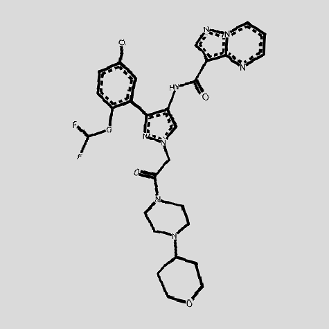 O=C(Nc1cn(CC(=O)N2CCN(C3CCOCC3)CC2)nc1-c1cc(Cl)ccc1OC(F)F)c1cnn2cccnc12